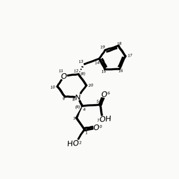 O=C(O)C[C@H](C(=O)O)N1CCO[C@H](Cc2ccccc2)C1